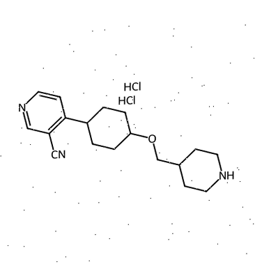 Cl.Cl.N#Cc1cnccc1C1CCC(OCC2CCNCC2)CC1